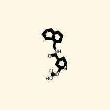 O=C(O)Oc1cc(C(=O)NCc2cccc3ccccc23)ccn1